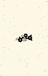 COc1cccc(C(=O)NC2(C(=O)c3cc(C)cc(C)c3)CCCC2)c1C